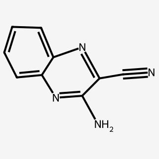 N#Cc1nc2ccccc2nc1N